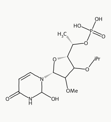 COC1C(OC(C)C)[C@@H]([C@H](C)OP(=O)(O)O)O[C@H]1N1C=CC(=O)NC1O